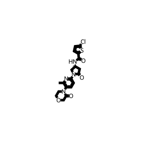 Cc1nc(N2C[C@H](NC(=O)c3ccc(Cl)s3)CC2=O)ccc1N1CCOCC1=O